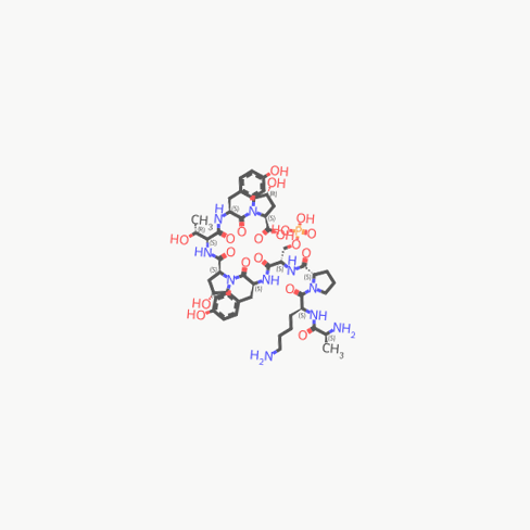 C[C@H](N)C(=O)N[C@@H](CCCCN)C(=O)N1CCC[C@H]1C(=O)N[C@@H](COP(=O)(O)O)C(=O)N[C@@H](Cc1ccc(O)cc1)C(=O)N1C[C@H](O)C[C@H]1C(=O)N[C@H](C(=O)N[C@@H](Cc1ccc(O)cc1)C(=O)N1C[C@H](O)C[C@H]1C(=O)O)[C@@H](C)O